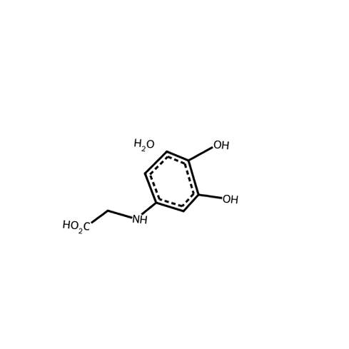 O.O=C(O)CNc1ccc(O)c(O)c1